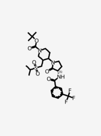 CC(C)S(=O)(=O)CC1CN(C(=O)OC(C)(C)C)CCC1N1CC[C@H](NC(=O)c2cccc(C(F)(F)F)c2)C1=O